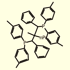 CCCC(C)(C(c1ccccc1)P(c1ccc(C)cc1)c1ccc(C)cc1)C(c1ccccc1)P(c1ccc(C)cc1)c1ccc(C)cc1